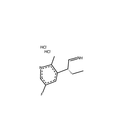 CC[C@@H](C=N)c1cc(F)cnc1C.Cl.Cl